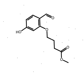 COC(=O)CCCOc1cc(O)ccc1C=O